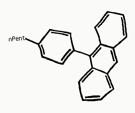 CCCCCc1ccc(-c2c3ccccc3cc3ccccc23)cc1